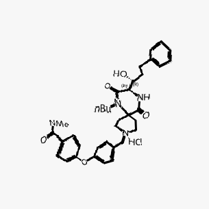 CCCCN1C(=O)[C@@H]([C@H](O)CCc2ccccc2)NC(=O)C12CCN(Cc1ccc(Oc3ccc(C(=O)NC)cc3)cc1)CC2.Cl